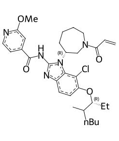 C=CC(=O)N1CCCC[C@@H](n2c(NC(=O)c3ccnc(OC)c3)nc3ccc(O[C@H](CC)C(C)CCCC)c(Cl)c32)C1